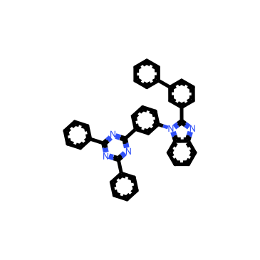 c1ccc(-c2cccc(-c3nc4ccccc4n3-c3cccc(-c4nc(-c5ccccc5)nc(-c5ccccc5)n4)c3)c2)cc1